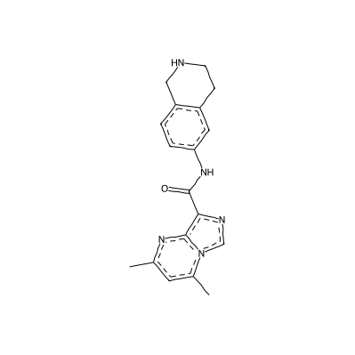 Cc1cc(C)n2cnc(C(=O)Nc3ccc4c(c3)CCNC4)c2n1